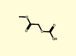 COC(=O)COC(=O)O